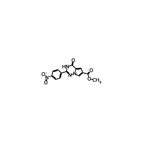 COC(=O)c1cc2c(=O)[nH]c(-c3ccc([N+](=O)[O-])cc3)nn2c1